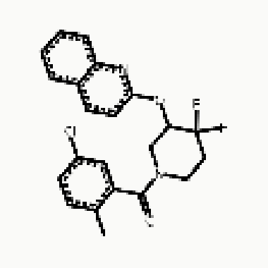 Cc1ccc(Cl)cc1C(=O)N1CCC(F)(F)C(Oc2ccc3ccccc3n2)C1